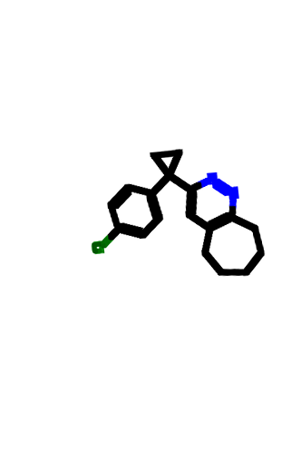 Clc1ccc(C2(c3cc4c(nn3)CCCCC4)CC2)cc1